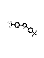 NC(=O)c1ccc(-c2ccc(-c3ccc(C(F)(F)F)cc3)o2)cc1